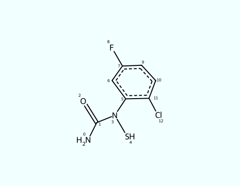 NC(=O)N(S)c1cc(F)ccc1Cl